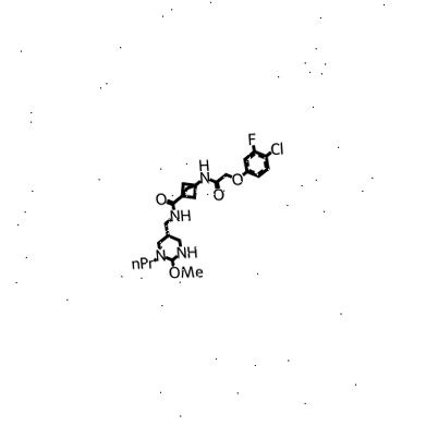 CCCN1CC(CNC(=O)C23CC(NC(=O)COc4ccc(Cl)c(F)c4)(C2)C3)CNC1OC